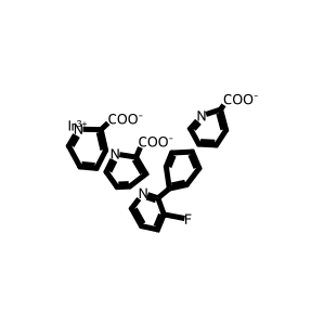 Fc1cccnc1-c1ccccc1.O=C([O-])c1ccccn1.O=C([O-])c1ccccn1.O=C([O-])c1ccccn1.[Ir+3]